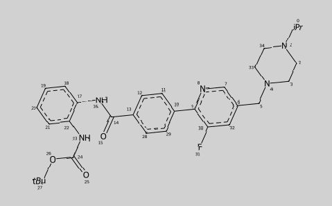 CC(C)N1CCN(Cc2cnc(-c3ccc(C(=O)Nc4ccccc4NC(=O)OC(C)(C)C)cc3)c(F)c2)CC1